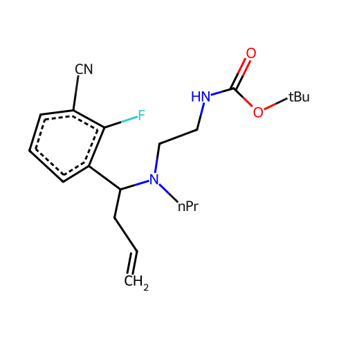 C=CCC(c1cccc(C#N)c1F)N(CCC)CCNC(=O)OC(C)(C)C